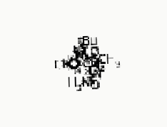 CC(C(=O)N(C)c1cc(C(C)(C)C)nn1-c1cccc(Cl)c1)c1ccc(C(N)=O)nc1